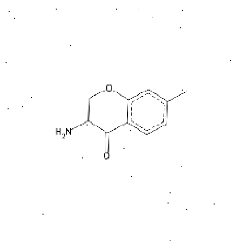 Cc1ccc2c(c1)OCC(N)C2=O